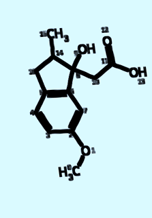 COc1ccc2c(c1)C(O)(CC(=O)O)C(C)C2